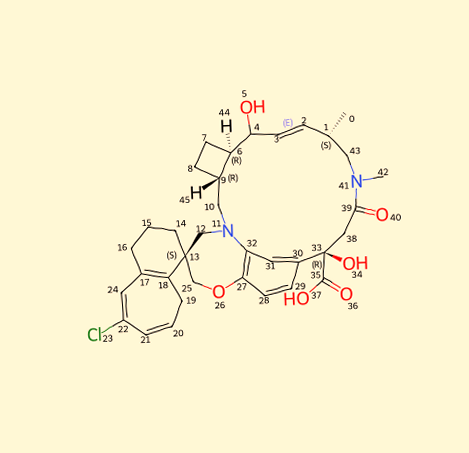 C[C@H]1/C=C/C(O)[C@@H]2CC[C@H]2CN2C[C@@]3(CCCC4=C3CC=CC(Cl)=C4)COc3ccc(cc32)[C@@](O)(C(=O)O)CC(=O)N(C)C1